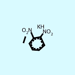 CC.O=[N+]([O-])c1ccccc1[N+](=O)[O-].[KH]